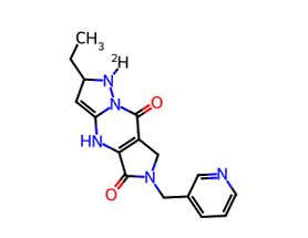 [2H]N1C(CC)C=C2NC3=C(CN(Cc4cccnc4)C3=O)C(=O)N21